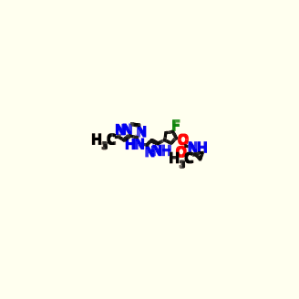 Cc1cc2c(Nc3cc([C@H]4C[C@@H](F)[C@@H](OC(=O)NC5(C)CC5)C4)[nH]n3)nccn2n1